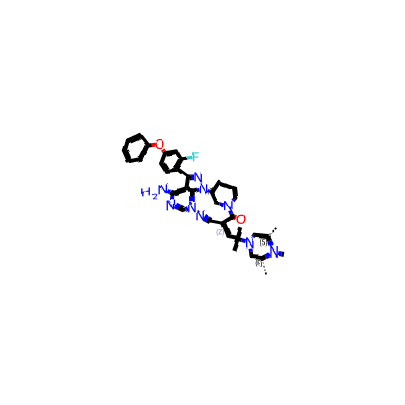 C[C@@H]1CN(C(C)(C)/C=C(/C#N)C(=O)N2CCC[C@H](n3nc(-c4ccc(Oc5ccccc5)cc4F)c4c(N)ncnc43)C2)C[C@H](C)N1C